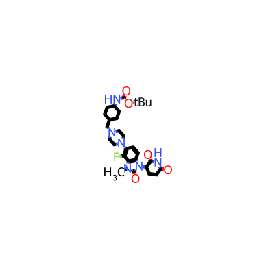 Cn1c(=O)n(C2CCC(=O)NC2=O)c2ccc(N3CCN(CC4CCC(NC(=O)OC(C)(C)C)CC4)CC3)c(F)c21